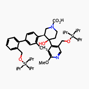 COc1cc([C@@]2(O)CCN(C(=O)O)C[C@@H]2c2ccc(-c3ccccc3CO[Si](C(C)C)(C(C)C)C(C)C)cc2C)c(CO[Si](C(C)C)(C(C)C)C(C)C)cn1